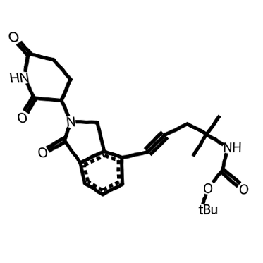 CC(C)(CC#Cc1cccc2c1CN(C1CCC(=O)NC1=O)C2=O)NC(=O)OC(C)(C)C